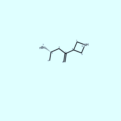 C=C(C[C@H](C)CCCC)C1CNC1